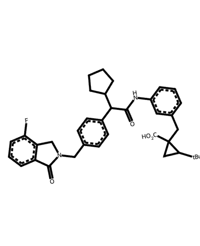 CC(C)(C)C1CC1(Cc1cccc(NC(=O)C(c2ccc(CN3Cc4c(F)cccc4C3=O)cc2)C2CCCC2)c1)C(=O)O